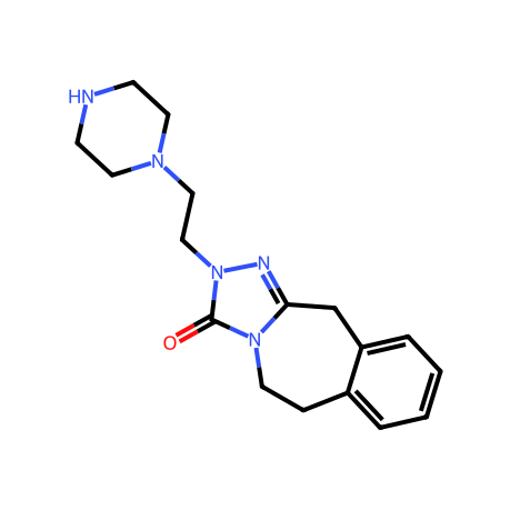 O=c1n(CCN2CCNCC2)nc2n1CCc1ccccc1C2